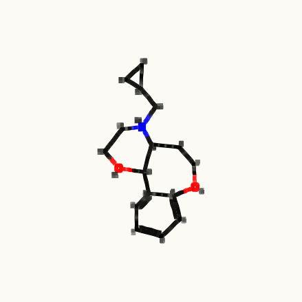 c1ccc2c(c1)OCCC1C2OCCN1CC1CC1